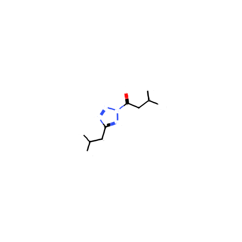 CC(C)CC(=O)n1nnc(CC(C)C)n1